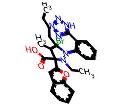 CCCCC1(Br)C(C)C(C(=O)O)(c2cc3ccccc3o2)N(CC)N1c1ccccc1-c1nnn[nH]1